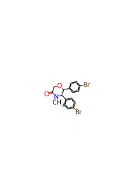 CN1C(=O)COC(c2ccc(Br)cc2)C1c1ccc(Br)cc1